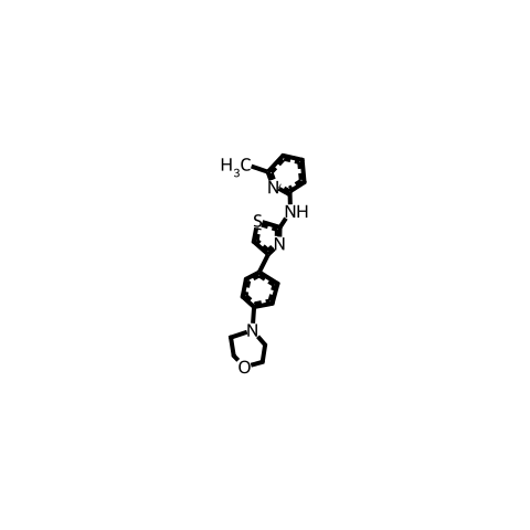 Cc1cccc(Nc2nc(-c3ccc(N4CCOCC4)cc3)cs2)n1